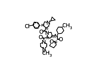 CC1CCC(N(C(=O)[C@@H]2CCCO2)[C@H]2C[C@@H](C(=O)N3CCN(C)CC3)N(C(=O)[C@@H]3CN(C4CC4)C[C@H]3c3ccc(Cl)cc3)C2)CC1